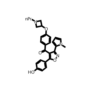 CCCN1CC(Oc2ccc(C(=O)c3c(-c4cccn4C)noc3-c3ccc(O)cc3)cc2)C1